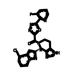 O=C(c1nnc(-c2ncccc2F)o1)N1CCc2[nH]cnc2[C@@H]1c1cc2c(Cl)cccn2n1